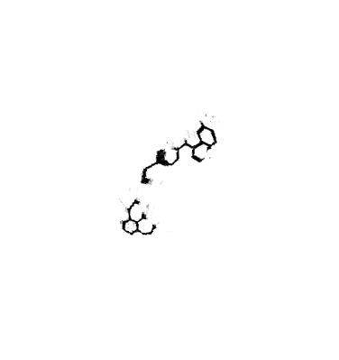 COc1ccc2nccc(C(O)C3CC4CCN3CC4CC(=O)O[C@@H]3O[C@@H]4O[C@](C)(O)CC[C@H]5[C@H](C)CC[C@@H]([C@H]3C)[C@@]45O)c2c1